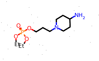 CCOP(=O)(OCC)OCCCN1CCC(N)CC1